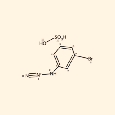 N#[N+]Nc1cccc(Br)c1.O=S(=O)(O)O